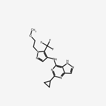 COCCn1ncc(Nc2nc(C3CC3)nc3cn[nH]c23)c1C(F)(F)F